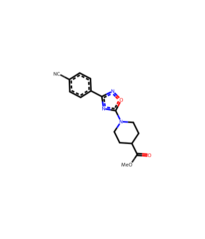 COC(=O)C1CCN(c2nc(-c3ccc(C#N)cc3)no2)CC1